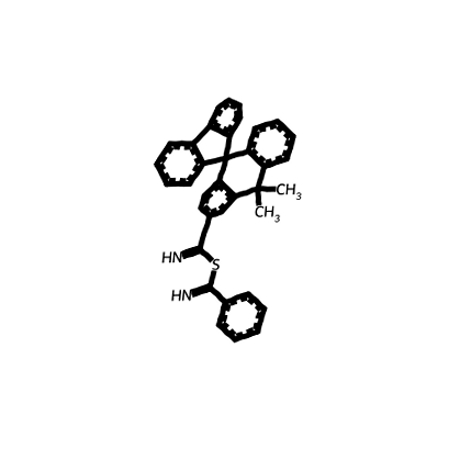 CC1(C)c2ccccc2C2(c3ccccc3-c3ccccc32)c2ccc(C(=N)SC(=N)c3ccccc3)cc21